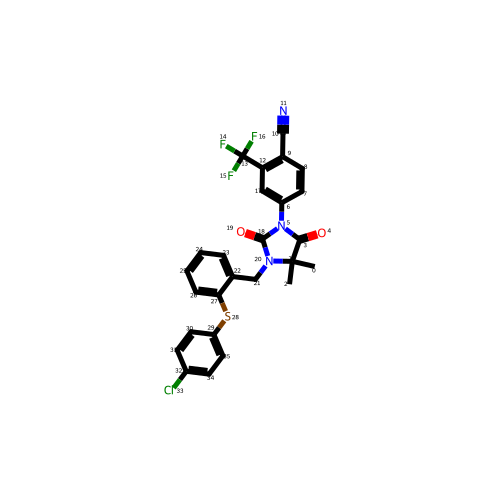 CC1(C)C(=O)N(c2ccc(C#N)c(C(F)(F)F)c2)C(=O)N1Cc1ccccc1Sc1ccc(Cl)cc1